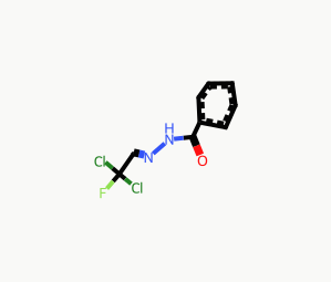 O=C(NN=CC(F)(Cl)Cl)c1ccccc1